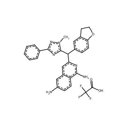 Cn1nc(-c2ccccc2)nc1C(c1ccc2c(c1)CCO2)c1cc2cc(N)ccc2c(N)n1.O=C(O)C(F)(F)F